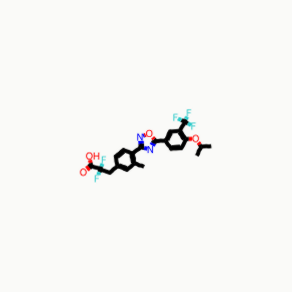 Cc1cc(CC(F)(F)C(=O)O)ccc1-c1noc(-c2ccc(OC(C)C)c(C(F)(F)F)c2)n1